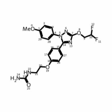 COc1ccc(-n2nc(OCC(F)F)nc2-c2ccc(OCCNC(N)=O)cc2)cc1